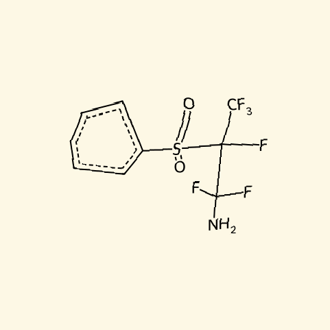 NC(F)(F)C(F)(C(F)(F)F)S(=O)(=O)c1ccccc1